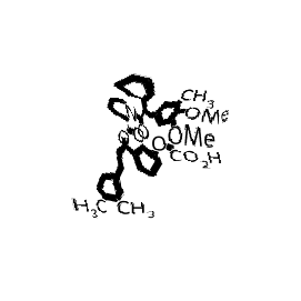 COc1cc([C@@H](C(=O)N2CCCC[C@H]2C(=O)OC(CCc2ccc(C)c(C)c2)c2cccc(OCC(=O)O)c2)[C@@H]2C=CCCC2)cc(C)c1OC